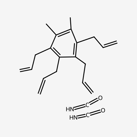 C=CCc1c(C)c(C)c(CC=C)c(CC=C)c1CC=C.N=C=O.N=C=O